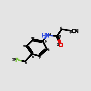 N#CCC(=O)Nc1ccc(CF)cc1